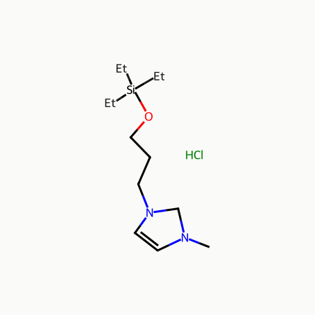 CC[Si](CC)(CC)OCCCN1C=CN(C)C1.Cl